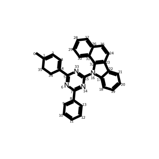 CC1=CC=C(c2nc(-c3ccccc3)nc(-n3c4ccccc4c4ccc5ccccc5c43)n2)CC1